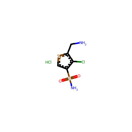 Cl.NCc1scc(S(N)(=O)=O)c1Cl